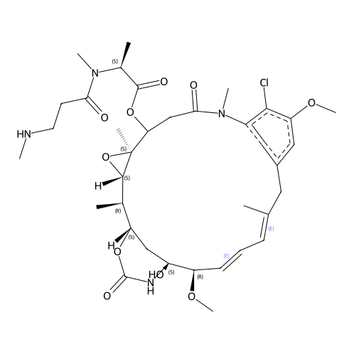 CNCCC(=O)N(C)[C@@H](C)C(=O)OC1CC(=O)N(C)c2cc(cc(OC)c2Cl)C/C(C)=C/C=C/[C@@H](OC)[C@@]2(O)C[C@H](OC(=O)N2)[C@@H](C)[C@@H]2O[C@@]12C